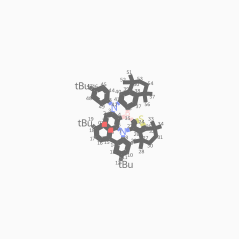 Cc1cc2c3c(c1)N(c1ccc(C(C)(C)C)cc1-c1ccc(C(C)(C)C)cc1)c1c(sc4c1C(C)(C)CCC4(C)C)B3c1cc3c(cc1N2c1ccc(C(C)(C)C)cc1)C(C)(C)CCC3(C)C